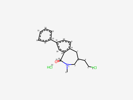 CN1CC(CCCl)Cc2ccc(-c3ccccc3)cc2C1=O.Cl